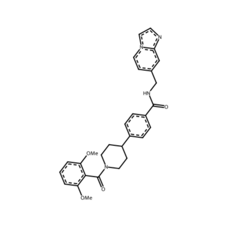 COc1cccc(OC)c1C(=O)N1CCC(c2ccc(C(=O)NCc3ccn4ccnc4c3)cc2)CC1